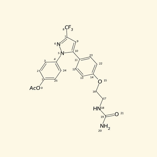 CC(=O)Oc1ccc(-n2nc(C(F)(F)F)cc2-c2ccc(OCCNC(N)=O)cc2)cc1